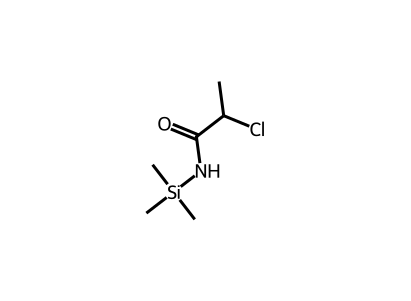 CC(Cl)C(=O)N[Si](C)(C)C